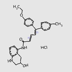 CCOc1ccc(/C(=C\C=C\C(=O)Nc2cccc3c2CC(O)CN3)c2ccc(C)cc2)cc1.Cl